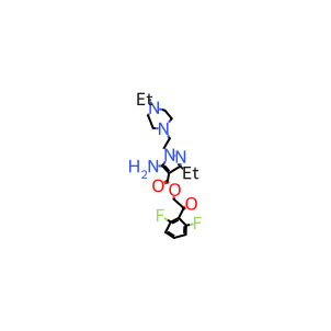 CCc1nn(CCN2CCN(CC)CC2)c(N)c1C(=O)OCC(=O)c1c(F)cccc1F